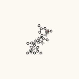 CC1C(c2nc(-c3ccccc3)nc(-c3cccc(-c4cc(-c5ccccc5)cc(-c5ccccc5)c4)c3)n2)=CC=CC1c1cccc2c1c1cc(-c3ccccc3)ccc1n2-c1ccc2c(c1)C(C)(C)c1cc(-n3c4ccc(-c5ccccc5)cc4c4c(-c5cccc(-c6nc(-c7ccccc7)nc(-c7cccc(-c8cc(-c9ccccc9)cc(-c9ccccc9)c8)c7)n6)c5)cccc43)ccc1-2